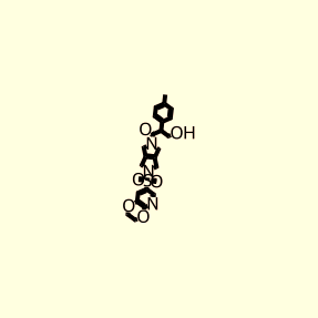 Cc1ccc(C(CO)C(=O)N2CC3=C(C2)CN(S(=O)(=O)c2cnc4c(c2)OCCO4)C3)cc1